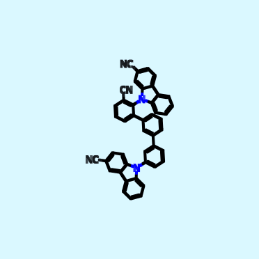 N#Cc1ccc2c(c1)c1ccccc1n2-c1cccc(-c2cccc(-c3cccc(C#N)c3-n3c4ccccc4c4ccc(C#N)cc43)c2)c1